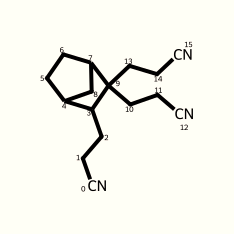 N#CCCC1C2CCC(C2)C1(CCC#N)CCC#N